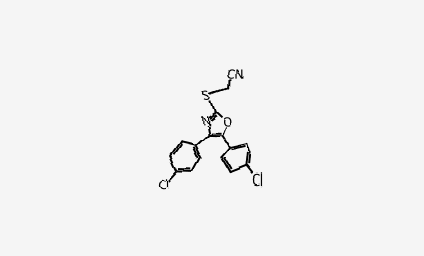 N#CCSc1nc(-c2ccc(Cl)cc2)c(-c2ccc(Cl)cc2)o1